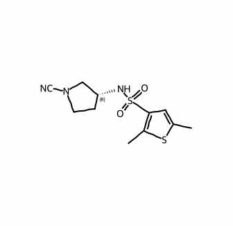 Cc1cc(S(=O)(=O)N[C@@H]2CCN(C#N)C2)c(C)s1